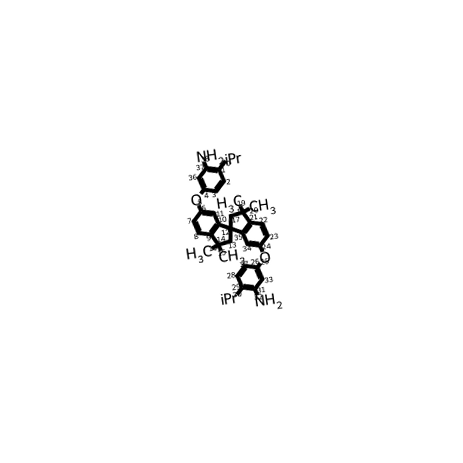 CC(C)c1ccc(Oc2ccc3c(c2)C2(CC3(C)C)CC(C)(C)c3ccc(Oc4ccc(C(C)C)c(N)c4)cc32)cc1N